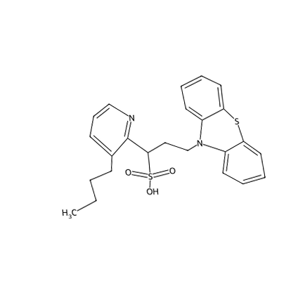 CCCCc1cccnc1C(CCN1c2ccccc2Sc2ccccc21)S(=O)(=O)O